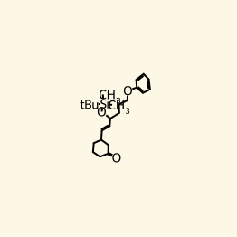 CC(C)(C)[Si](C)(C)OC(C=CC1CCCC(=O)C1)CCCOc1ccccc1